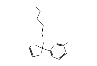 CCCCCNC1(c2cccc(C)n2)NC=CS1